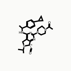 CC(=O)N1CCN(c2nc(NC(C)c3ccc(C4CC4)cc3)c3c(n2)[C@H](C=O)N(C(C)C)C3)CC1